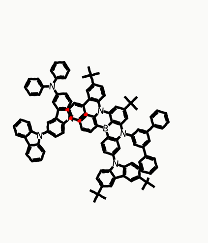 CC(C)(C)c1ccc(N2c3cc(-n4c5ccc(N(c6ccccc6)c6ccccc6)cc5c5cc(-n6c7ccccc7c7ccccc76)ccc54)ccc3B3c4ccc(-n5c6ccc(C(C)(C)C)cc6c6cc(C(C)(C)C)ccc65)cc4N(c4cc(-c5ccccc5)cc(-c5ccccc5)c4)c4cc(C(C)(C)C)cc2c43)c(-c2ccccc2)c1